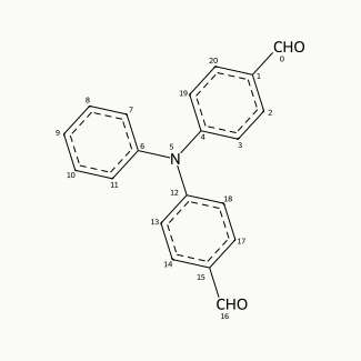 O=Cc1ccc(N(c2ccccc2)c2ccc(C=O)cc2)cc1